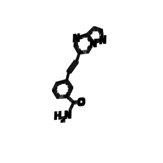 NC(=O)c1cccc(C#Cc2cnc3ccnn3c2)c1